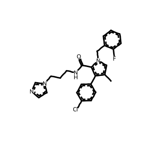 Cc1cn(Cc2ccccc2F)c(C(=O)NCCCn2ccnc2)c1-c1ccc(Cl)cc1